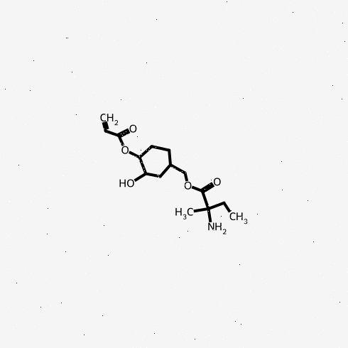 C=CC(=O)OC1CCC(COC(=O)C(C)(N)CC)CC1O